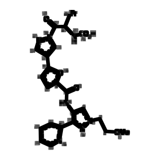 COCCn1cc(NC(=O)c2ccc(-c3cnn(C(=O)C(NC(=O)O)C(C)C)c3)o2)c(-c2ccccn2)n1